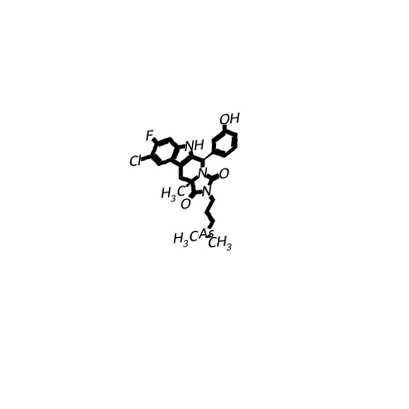 C[As](C)CCCN1C(=O)N2[C@H](c3cccc(O)c3)c3[nH]c4cc(F)c(Cl)cc4c3C[C@@]2(C)C1=O